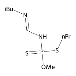 CCCSP(=S)(NC=NC(C)CC)OC